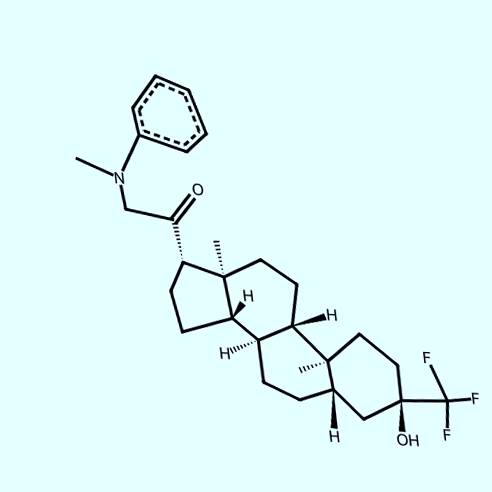 CN(CC(=O)[C@H]1CC[C@H]2[C@@H]3CC[C@H]4C[C@@](O)(C(F)(F)F)CC[C@]4(C)[C@H]3CC[C@]12C)c1ccccc1